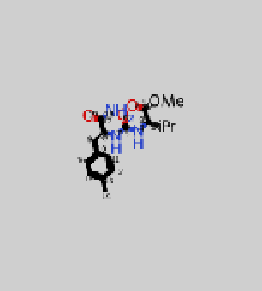 COC(=O)C(NC(=O)N[C@@H](Cc1ccc(C)cc1)C(N)=O)C(C)C